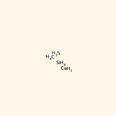 C.S.[CaH2].[SiH4]